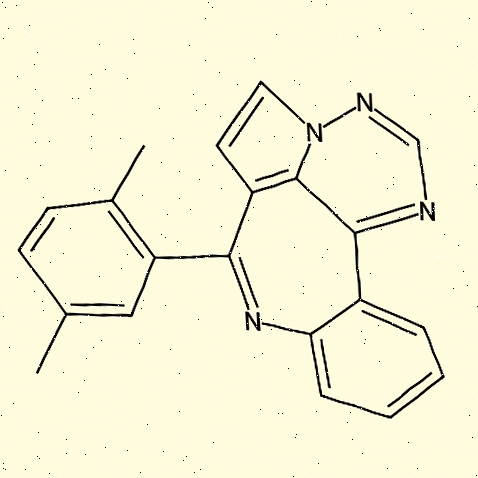 Cc1ccc(C)c(C2=Nc3ccccc3-c3ncnn4ccc2c34)c1